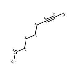 [CH2]SCCCCC#CC